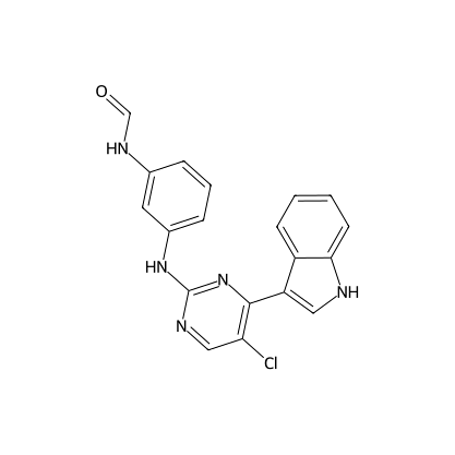 O=CNc1cccc(Nc2ncc(Cl)c(-c3c[nH]c4ccccc34)n2)c1